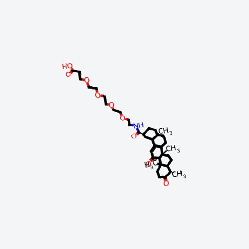 CC1C(=O)CCC2(C)C1CC[C@@]1(C)C3CC[C@@]4(C)CC[C@H](C(=O)NCCOCCOCCOCCOCCC(=O)O)CC4C3=CC(=O)C21